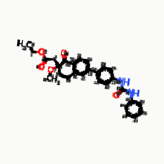 CCOC(=O)CC1(OC)CCc2cc(-c3ccc(NC(=O)Nc4ccccc4)cc3)ccc2C1=O